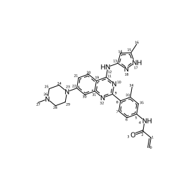 C=CC(=O)Nc1ccc(-c2nc(Nc3cc(C)[nH]n3)c3ccc(N4CCN(C)CC4)cc3n2)c(C)c1